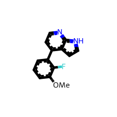 COc1cccc(-c2ccnc3[nH]ccc23)c1F